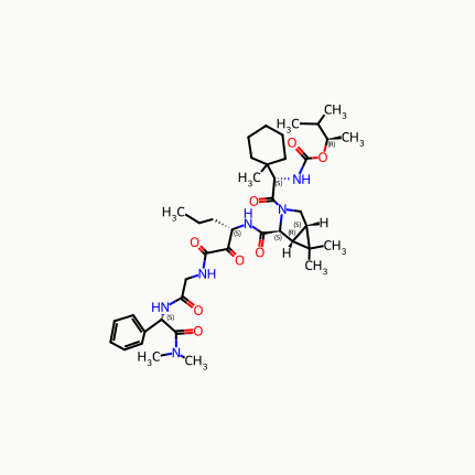 CCC[C@H](NC(=O)[C@@H]1[C@@H]2[C@H](CN1C(=O)[C@@H](NC(=O)O[C@H](C)C(C)C)C1(C)CCCCC1)C2(C)C)C(=O)C(=O)NCC(=O)N[C@H](C(=O)N(C)C)c1ccccc1